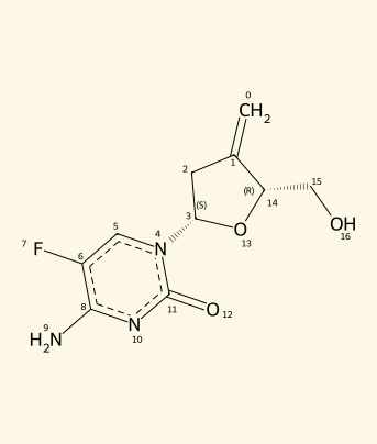 C=C1C[C@@H](n2cc(F)c(N)nc2=O)O[C@H]1CO